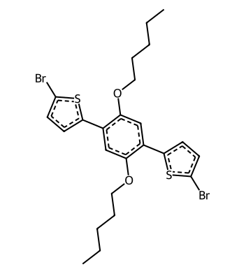 CCCCCOc1cc(-c2ccc(Br)s2)c(OCCCCC)cc1-c1ccc(Br)s1